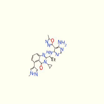 CC[C@H](Nc1ncnc(N)c1-c1nnc(C)o1)c1nc2cccc(-c3cnn(C)c3)c2c(=O)n1C1CC1